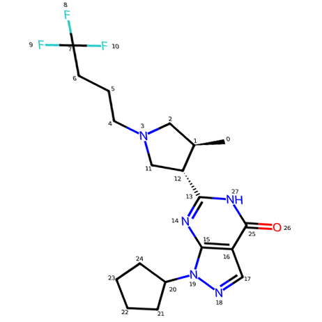 C[C@@H]1CN(CCCC(F)(F)F)C[C@H]1c1nc2c(cnn2C2CCCC2)c(=O)[nH]1